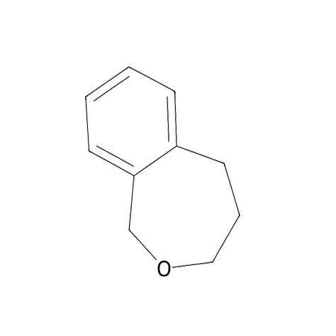 c1ccc2c(c1)CCCOC2